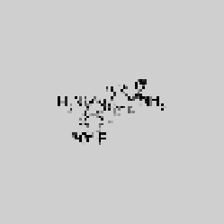 COc1cc2c(N)cn(-c3ccc(C(N)=O)cc3)c2cc1F